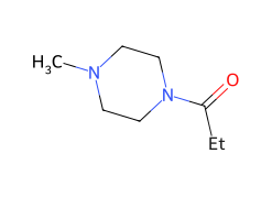 CCC(=O)N1CCN(C)CC1